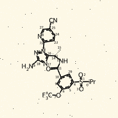 CC(C)S(=O)(=O)c1cc(OC(F)(F)F)cc(C(=O)N[C@@H](C)c2nc(N)nn2-c2ccc(C#N)cn2)c1